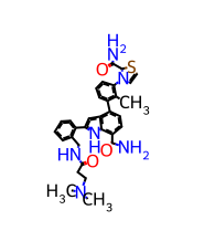 Cc1c(-c2ccc(C(N)=O)c3[nH]c(-c4ccccc4CNC(=O)CCN(C)C)cc23)cccc1N1C=CSC1C(N)=O